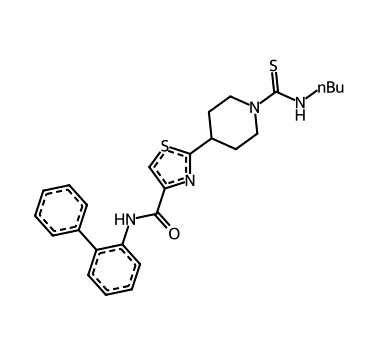 CCCCNC(=S)N1CCC(c2nc(C(=O)Nc3ccccc3-c3ccccc3)cs2)CC1